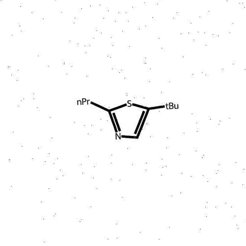 CCCc1ncc(C(C)(C)C)s1